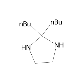 CCCCC1(CCCC)NCCN1